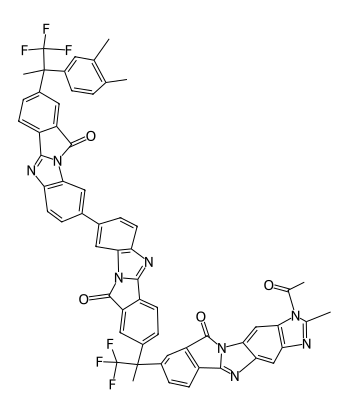 CC(=O)n1c(C)nc2cc3nc4n(c3cc21)C(=O)c1cc(C(C)(c2ccc3c(c2)C(=O)n2c-3nc3ccc(-c5ccc6nc7n(c6c5)C(=O)c5cc(C(C)(c6ccc(C)c(C)c6)C(F)(F)F)ccc5-7)cc32)C(F)(F)F)ccc1-4